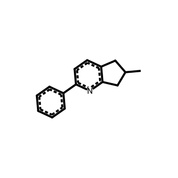 CC1Cc2ccc(-c3ccccc3)nc2C1